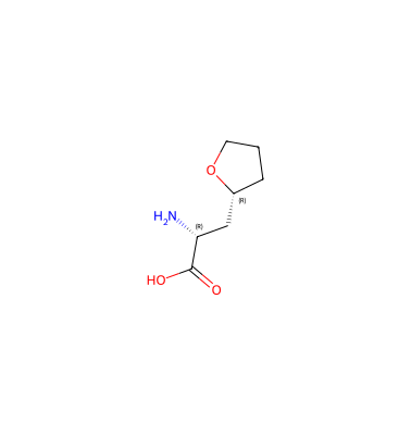 N[C@H](C[C@H]1CCCO1)C(=O)O